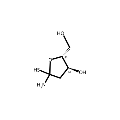 NC1(S)C[C@H](O)[C@@H](CO)O1